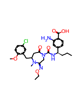 CCC[C@@H](NC(=O)N1CC(=NOCC)N(C)C(Cc2cc(Cl)ccc2OC)CC1=O)c1ccc(C(=O)O)c(N)c1